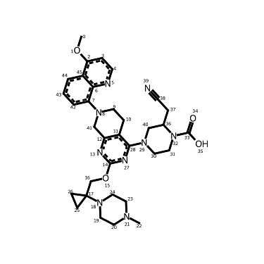 COc1ccnc2c(N3CCc4c(nc(OCC5(N6CCN(C)CC6)CC5)nc4N4CCN(C(=O)O)C(CC#N)C4)C3)cccc12